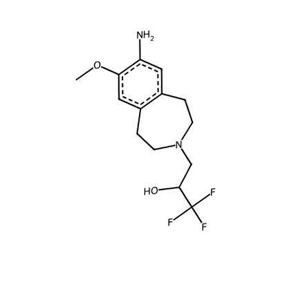 COc1cc2c(cc1N)CCN(CC(O)C(F)(F)F)CC2